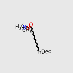 CCCCCCCCCCCCCCCC=CCCCCCC(=O)OCN(C)C